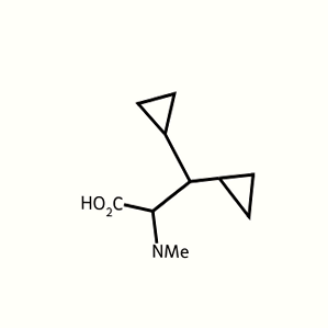 CNC(C(=O)O)C(C1CC1)C1CC1